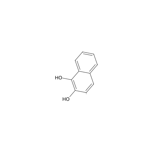 Oc1[c]cc2ccccc2c1O